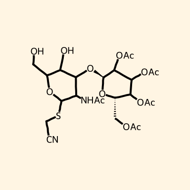 CC(=O)NC1C(SCC#N)OC(CO)C(O)C1O[C@@H]1O[C@@H](COC(C)=O)C(OC(C)=O)C(OC(C)=O)C1OC(C)=O